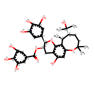 C[C@@H]1c2c(cc(O)c3c2O[C@H](c2cc(O)c(O)c(O)c2)[C@H](OC(=O)c2cc(O)c(O)c(O)c2)C3)OC(C)(C)CC[C@H]1C(C)(C)O